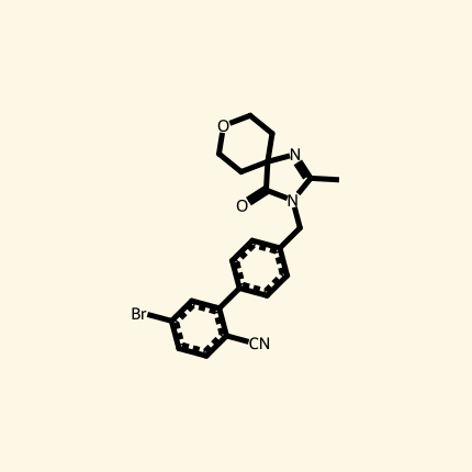 CC1=NC2(CCOCC2)C(=O)N1Cc1ccc(-c2cc(Br)ccc2C#N)cc1